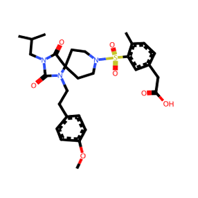 COc1ccc(CCN2C(=O)N(CC(C)C)C(=O)C23CCN(S(=O)(=O)c2cc(CC(=O)O)ccc2C)CC3)cc1